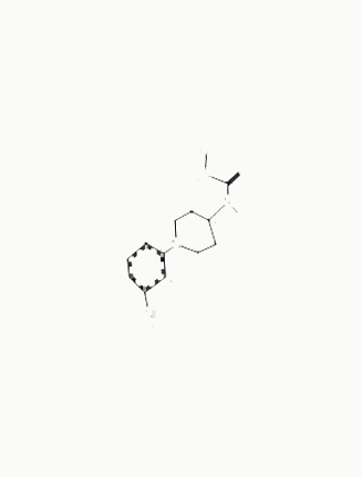 CN(C(=O)OC(C)(C)C)C1CCN(c2cccc(N)c2)CC1